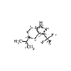 CC(C)N1CCc2[nH]nc(C(F)(F)F)c2C1